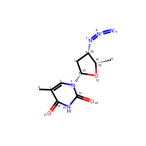 Cc1cn([C@@H]2C[C@H](N=[N+]=[N-])[C@H](C)O2)c(=O)[nH]c1=O